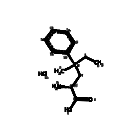 CCS(C)(C[C@H](N)C(=O)O)c1ccccc1.Cl